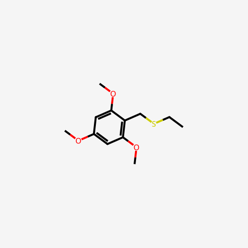 CCSCc1c(OC)cc(OC)cc1OC